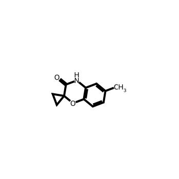 Cc1ccc2c(c1)NC(=O)C1(CC1)O2